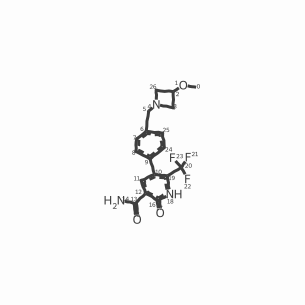 COC1CN(Cc2ccc(-c3cc(C(N)=O)c(=O)[nH]c3C(F)(F)F)cc2)C1